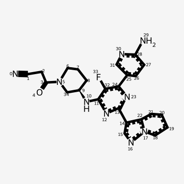 N#CCC(=O)N1CCC[C@@H](Nc2nc(-c3cnn4ccccc34)nc(-c3ccc(N)nc3)c2F)C1